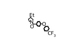 CCC1CCN(C(=O)c2ccc(Oc3ccc(C(F)(F)F)cc3)cc2)C1